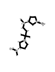 CCN(C)[C@H]1CCN(C(C)(C)CCN(C)[C@H]2CCN(C(C)(C)C)C2)C1